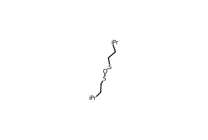 CC(C)CCSOSCCC(C)C